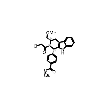 COC[C@H]1Cc2c([nH]c3ccccc23)[C@H](c2ccc(C(=O)OC(C)(C)C)cc2)N1C(=O)CCl